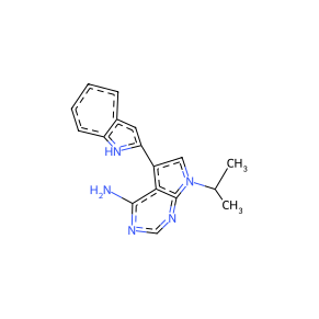 CC(C)n1cc(-c2cc3ccccc3[nH]2)c2c(N)ncnc21